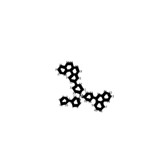 c1ccc(-c2cccc(N(c3ccc(-c4ccc5c(ccc6ccc7ccccc7c65)c4)cc3)c3ccc(-c4cc5ccccc5c5ccccc45)cc3)c2)cc1